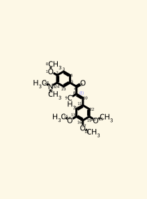 COc1ccc(C(=O)/C(C)=C/c2cc(OC)c(OC)c(OC)c2)cc1N(C)C